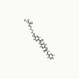 C=CC(=O)OCCCCCOc1ccc(C(=O)Oc2ccc(OC(=O)/C=C/c3ccccc3)cc2)cc1